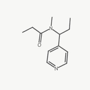 CCC(=O)N(C)C(CC)c1ccncc1